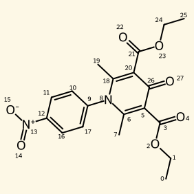 CCOC(=O)c1c(C)n(-c2ccc([N+](=O)[O-])cc2)c(C)c(C(=O)OCC)c1=O